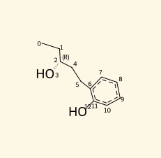 CC[C@@H](O)CCc1ccccc1O